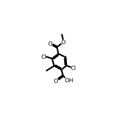 COC(=O)c1cc(Cl)c(C(=O)O)c(C)c1Cl